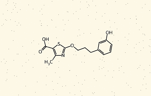 Cc1nc(OCCCc2cccc(O)c2)sc1C(=O)O